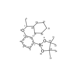 CC(Oc1cccc(B2OC(C)(C)C(C)(C)O2)c1)C1CCCCC1